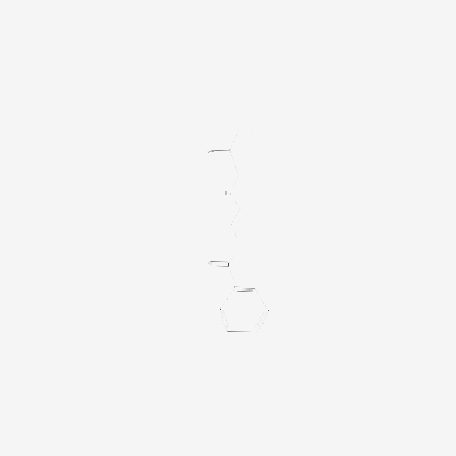 CC(N)CNCCOC(=O)c1ccccc1